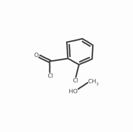 CO.O=C(Cl)c1ccccc1Cl